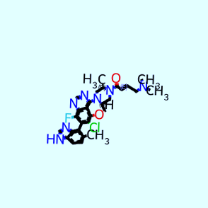 Cc1ccc2[nH]cnc2c1-c1c(Cl)c2c3c(ncnc3c1F)N1C[C@@H](C)N(C(=O)/C=C/CN(C)C)C[C@H]1CO2